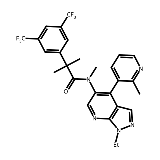 CCn1ncc2c(-c3cccnc3C)c(N(C)C(=O)C(C)(C)c3cc(C(F)(F)F)cc(C(F)(F)F)c3)cnc21